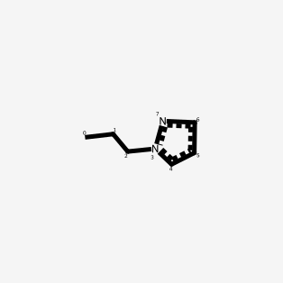 CCCn1[c]ccn1